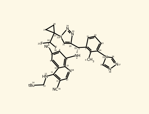 Cc1c([C@H](Nc2cc(C#N)cc3c(NCC(C)(C)C)c(C#N)cnc23)c2cn(C3(C(F)F)CC3)nn2)cccc1-n1cnnc1